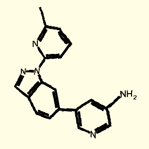 Cc1cccc(-n2ncc3ccc(-c4cncc(N)c4)cc32)n1